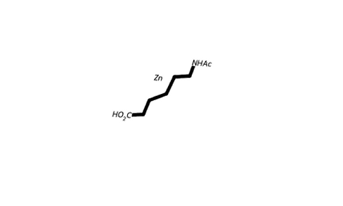 CC(=O)NCCCCCC(=O)O.[Zn]